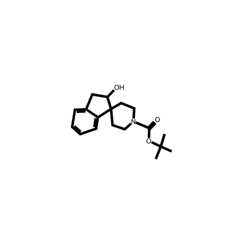 CC(C)(C)OC(=O)N1CCC2(CC1)c1ccccc1CC2O